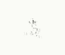 COC(=O)C(C(=O)OC)c1cc(F)c([N+](=O)[O-])cc1Cl